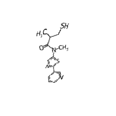 CC(CS)C(=O)N(C)c1cnc(-c2cccnc2)s1